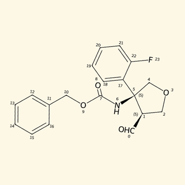 O=C[C@@H]1COC[C@@]1(NC(=O)OCc1ccccc1)c1ccccc1F